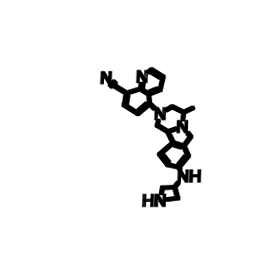 CC1CN(c2ccc(C#N)c3ncccc23)CC2c3ccc(NC4CNC4)cc3CN12